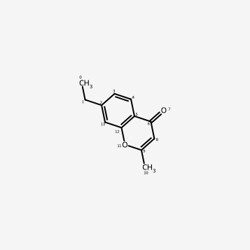 CCc1ccc2c(=O)cc(C)oc2c1